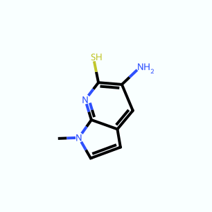 Cn1ccc2cc(N)c(S)nc21